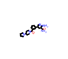 NC(=O)c1cc(-c2cccc(C(=O)N3CCC(N4CCCC4)CC3)c2)cnc1N